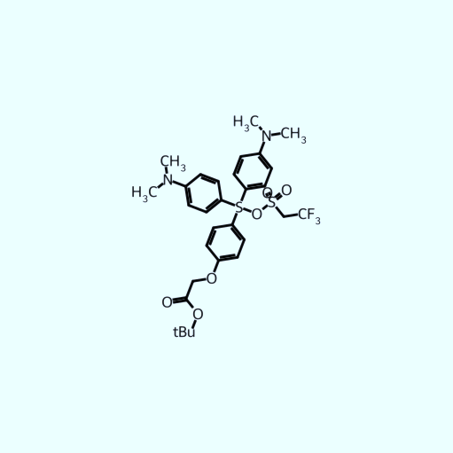 CN(C)c1ccc(S(OS(=O)(=O)CC(F)(F)F)(c2ccc(OCC(=O)OC(C)(C)C)cc2)c2ccc(N(C)C)cc2)cc1